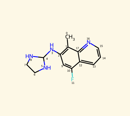 Cc1c(NC2NCCN2)cc(F)c2cccnc12